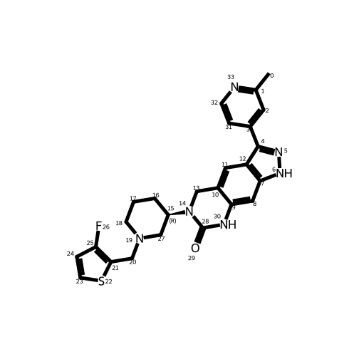 Cc1cc(-c2n[nH]c3cc4c(cc23)CN([C@@H]2CCCN(Cc3sccc3F)C2)C(=O)N4)ccn1